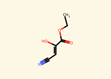 CCOC(=O)C(O)=CC#N